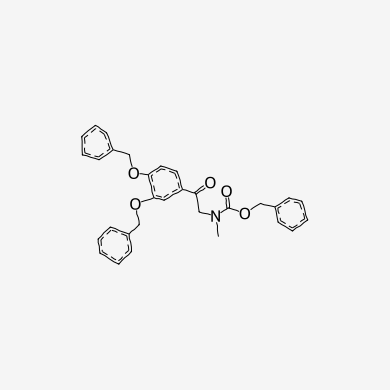 CN(CC(=O)c1ccc(OCc2ccccc2)c(OCc2ccccc2)c1)C(=O)OCc1ccccc1